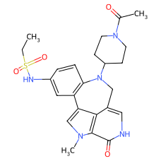 CCS(=O)(=O)Nc1ccc2c(c1)-c1cn(C)c3c(=O)[nH]cc(c13)CN2C1CCN(C(C)=O)CC1